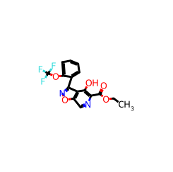 CCOC(=O)c1ncc2onc(-c3ccccc3OC(F)(F)F)c2c1O